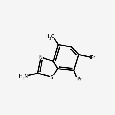 Cc1cc(C(C)C)c(C(C)C)c2sc(N)nc12